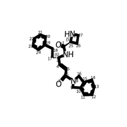 O=C(N[C@H](C=CC(=O)N1Cc2ccccc2C1)CCc1ccccc1)[C@@H]1CCN1